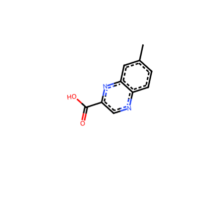 Cc1ccc2ncc(C(=O)O)nc2c1